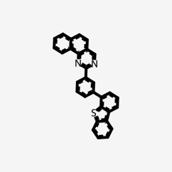 c1cc(-c2ncc3ccc4ccccc4c3n2)cc(-c2cccc3c2sc2ccccc23)c1